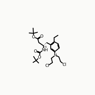 CCc1ccc(N(CCCl)CCCl)cc1C[C@@H](CC(=O)OC(C)(C)C)NC(=O)OC(C)(C)C